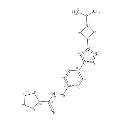 CC(C)N1CC(c2ncc(-c3ccc(CNC(=O)C4CCCC4)cc3)s2)C1